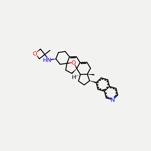 CC1(N[C@H]2CCC3=CC4=CC[C@]5(C)[C@@H](c6ccc7ccncc7c6)CC[C@H]5[C@@]45CCC3(C2)O5)COC1